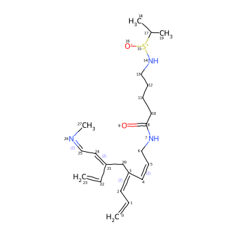 C=C/C=C(\C=C/CNC(=O)CCCCN[S+]([O-])C(C)C)C/C(C=C)=C/C=N\C